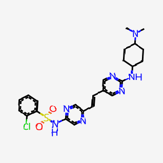 CN(C)C1CCC(Nc2ncc(/C=C/c3cnc(NS(=O)(=O)c4ccccc4Cl)cn3)cn2)CC1